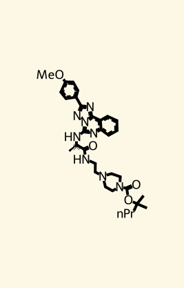 CCCC(C)(C)OC(=O)N1CCN(CCNC(=O)[C@@H](C)Nc2nc3ccccc3c3nc(-c4ccc(OC)cc4)nn23)CC1